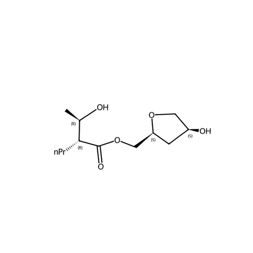 CCC[C@@H](C(=O)OC[C@@H]1C[C@H](O)CO1)[C@@H](C)O